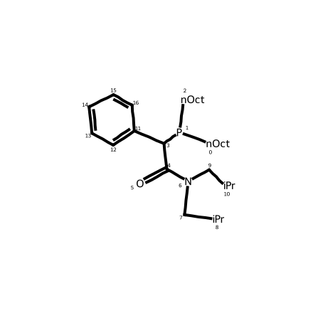 CCCCCCCCP(CCCCCCCC)C(C(=O)N(CC(C)C)CC(C)C)c1ccccc1